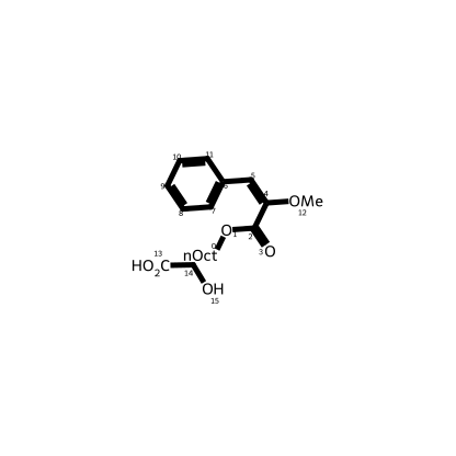 CCCCCCCCOC(=O)C(=Cc1ccccc1)OC.O=C(O)CO